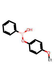 CCOc1ccc(OB(O)c2ccccc2)cc1